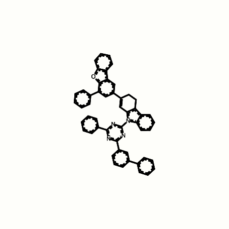 C1=C(c2cc(-c3ccccc3)c3oc4ccccc4c3c2)CCc2c1n(-c1nc(-c3ccccc3)nc(-c3cccc(-c4ccccc4)c3)n1)c1ccccc21